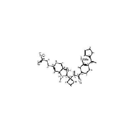 CNC1=C(C(C)C2CCCC2)CCC(C(=O)NC2(C3NC4CCC(CCC(=O)N=O)=CC4N3C)CCC2)C1